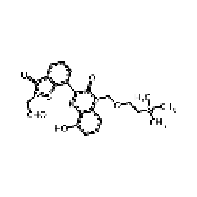 C[Si](C)(C)CCOCn1c(=O)c(-c2cccc3c(=O)n(CC=O)sc23)nc2c(O)cccc21